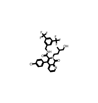 CC(CO)CCn1c(C(=O)NCc2cc(C(F)(F)F)cc(C(F)(F)F)c2)c(-c2ccc(Cl)cc2)c2cccnc2c1=O